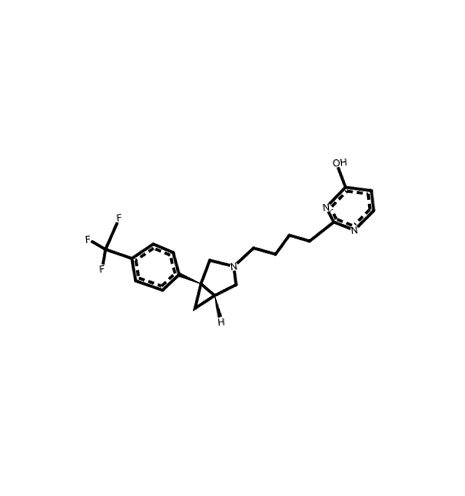 Oc1ccnc(CCCCN2C[C@@H]3C[C@]3(c3ccc(C(F)(F)F)cc3)C2)n1